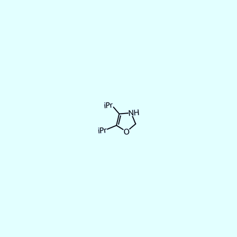 CC(C)C1=C(C(C)C)OCN1